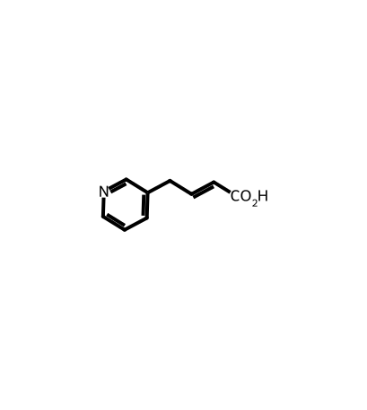 O=C(O)C=CCc1cccnc1